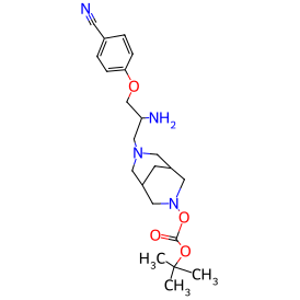 CC(C)(C)OC(=O)ON1CC2CC(CN(CC(N)COc3ccc(C#N)cc3)C2)C1